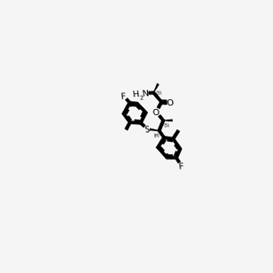 Cc1cc(F)ccc1S[C@H](c1ccc(F)cc1C)[C@H](C)OC(=O)[C@H](C)N